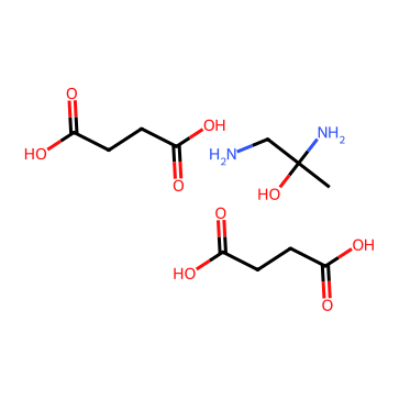 CC(N)(O)CN.O=C(O)CCC(=O)O.O=C(O)CCC(=O)O